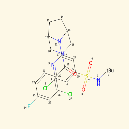 CC(C)(C)NS(=O)(=O)c1cc(Cl)nc(N2C3CCC2CN(C(=O)c2ccc(F)cc2Cl)C3)c1